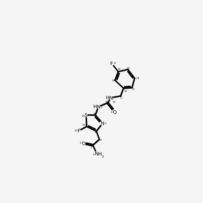 NC(=O)Cc1nc(NC(=O)NCc2cccc(F)c2)sc1F